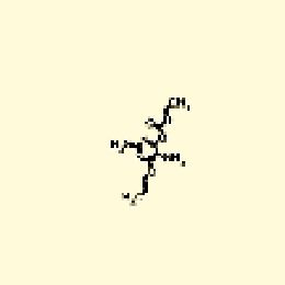 CCCOc1nc(N)nc(OC(=O)OCC)c1N